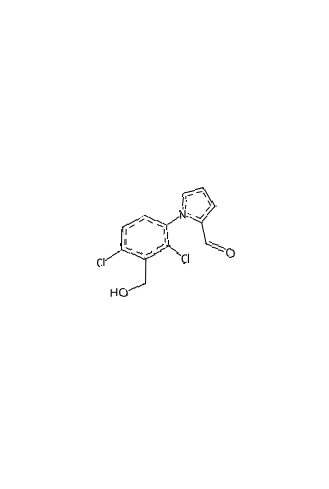 O=Cc1cccn1-c1ccc(Cl)c(CO)c1Cl